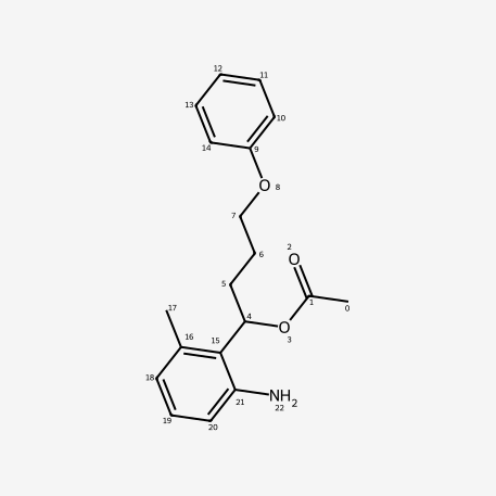 CC(=O)OC(CCCOc1ccccc1)c1c(C)cccc1N